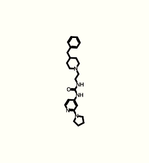 O=C(NCCN1CCC(Cc2ccccc2)CC1)Nc1ccnc(N2CCCC2)c1